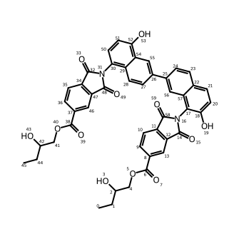 CCC(O)COC(=O)c1ccc2c(c1)C(=O)N(c1c(O)ccc3ccc(-c4ccc5c(N6C(=O)c7ccc(C(=O)OCC(O)CC)cc7C6=O)ccc(O)c5c4)cc13)C2=O